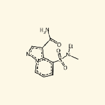 CCN(C)S(=O)(=O)c1cccn2ncc(C(N)=O)c12